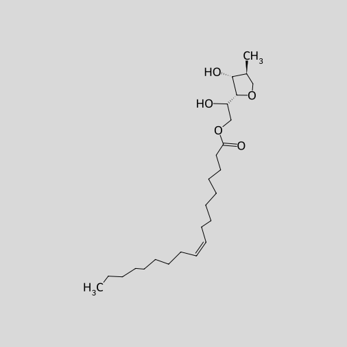 CCCCCCCC/C=C\CCCCCCCC(=O)OCC(O)[C@H]1OC[C@H](C)[C@H]1O